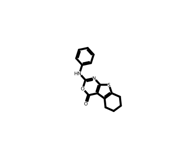 O=c1oc(Nc2ccccc2)nc2sc3c(c12)CCCC3